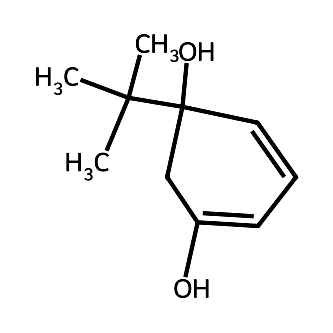 CC(C)(C)C1(O)C=CC=C(O)C1